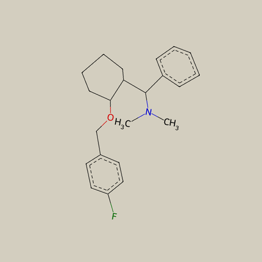 CN(C)C(c1ccccc1)C1CCCCC1OCc1ccc(F)cc1